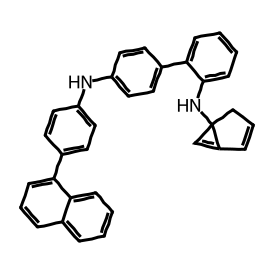 C1=CC2=CC2(Nc2ccccc2-c2ccc(Nc3ccc(-c4cccc5ccccc45)cc3)cc2)C1